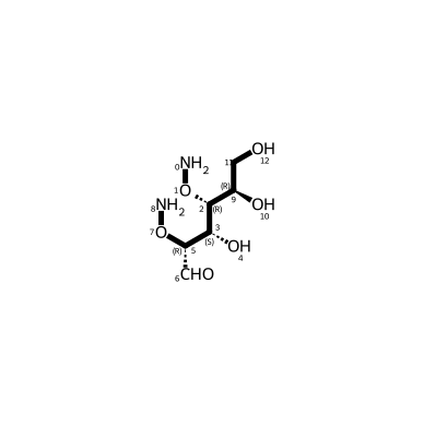 NO[C@@H]([C@H](O)[C@H](C=O)ON)[C@H](O)CO